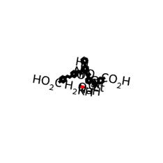 CCN(C1CCC(C(=O)O)CC1)S(=O)(=O)c1cccc(C(=O)Nc2ccc(N3CCCCC3)cc2C(=O)Nc2ccc(CCc3ccc(C(=O)O)cc3)cc2)c1.O.[KH].[NaH]